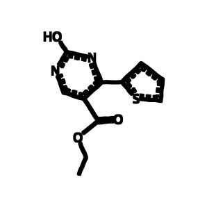 CCOC(=O)c1cnc(O)nc1-c1cccs1